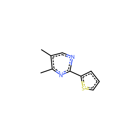 Cc1cnc(-c2cccs2)nc1C